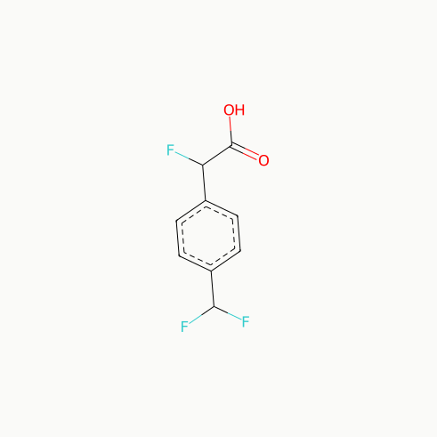 O=C(O)C(F)c1ccc(C(F)F)cc1